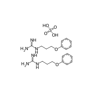 N=C(N)NCCCOc1ccccc1.N=C(N)NCCCOc1ccccc1.O=S(=O)(O)O